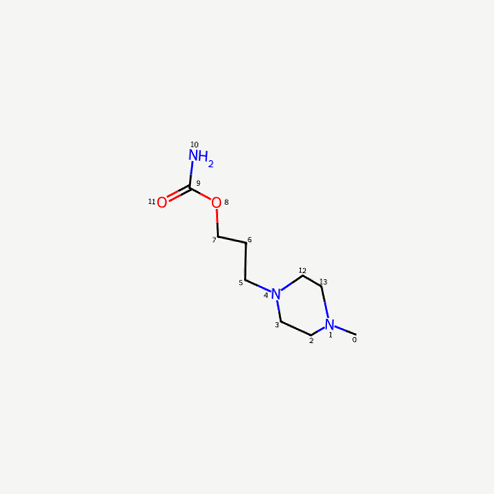 CN1CCN(CCCOC(N)=O)CC1